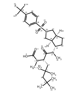 CN(C(=O)O)[C@@H](CC(C)(C)CC(C)(C)C)C(=O)N(C)[C@H]1CC[C@@H]2CN(S(=O)(=O)c3ccc(C(F)(F)F)cc3)C[C@@H]21